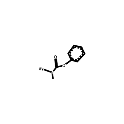 CC(C)N(C)C(=O)Oc1cc[c]cc1